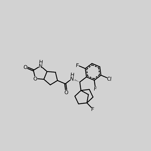 O=C1NC2CC(C(=O)N[C@H](c3c(F)ccc(Cl)c3F)C34CCC(F)(CC3)C4)CC2O1